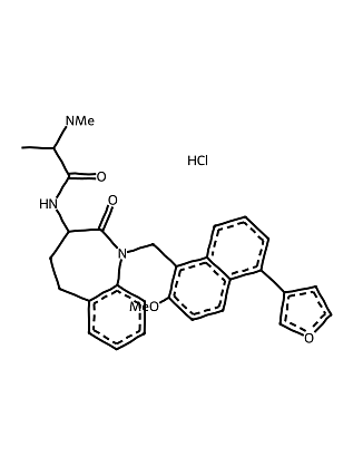 CNC(C)C(=O)NC1CCc2ccccc2N(Cc2c(OC)ccc3c(-c4ccoc4)cccc23)C1=O.Cl